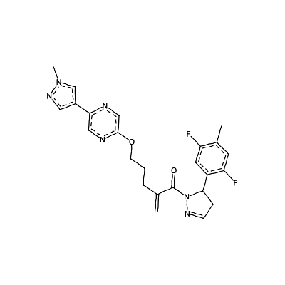 C=C(CCCOc1cnc(-c2cnn(C)c2)cn1)C(=O)N1N=CCC1c1cc(F)c(C)cc1F